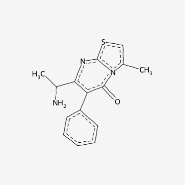 Cc1csc2nc(C(C)N)c(-c3ccccc3)c(=O)n12